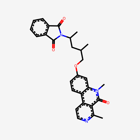 Cc1nccc2c1c(=O)n(C)c1cc(OCC(C)CC(C)N3C(=O)c4ccccc4C3=O)ccc21